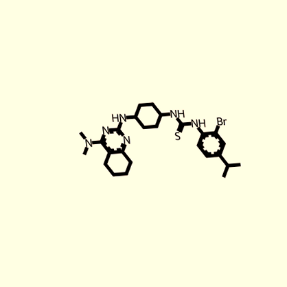 CC(C)c1ccc(NC(=S)NC2CCC(Nc3nc4c(c(N(C)C)n3)CCCC4)CC2)c(Br)c1